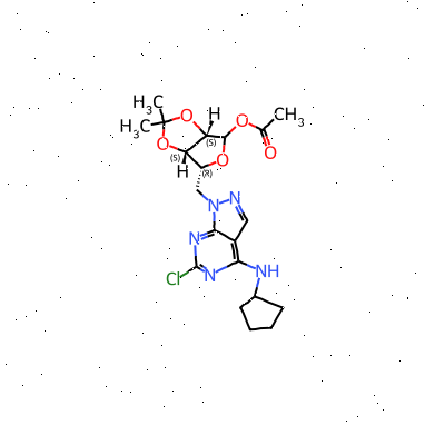 CC(=O)OC1O[C@H](Cn2ncc3c(NC4CCCC4)nc(Cl)nc32)[C@@H]2OC(C)(C)O[C@H]12